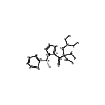 CCC(CC)OC(OC)(OC)C(=O)c1cccn1[C@H](C)c1ccccc1